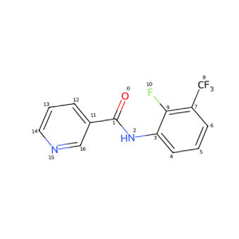 O=C(Nc1cccc(C(F)(F)F)c1F)c1cccnc1